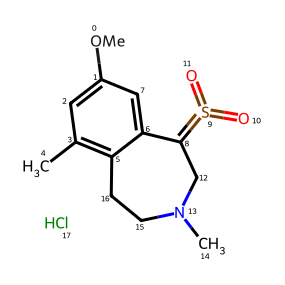 COc1cc(C)c2c(c1)C(=S(=O)=O)CN(C)CC2.Cl